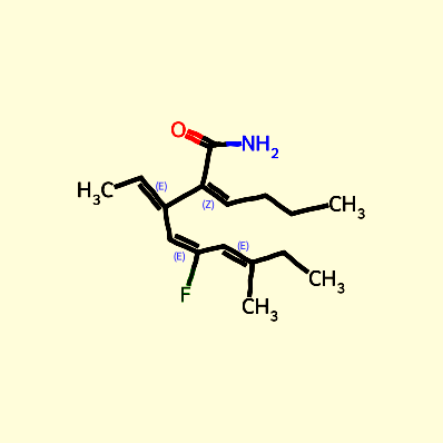 C/C=C(\C=C(F)/C=C(\C)CC)C(=C/CCC)/C(N)=O